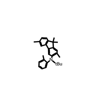 Cc1ccc2c(c1)-c1cc(N(c3ccccc3C)C(C)(C)C)c(C)cc1C2(C)C